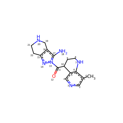 Cc1cncc2c1NCCC2C(=O)n1nc2c(c1N)CNCC2